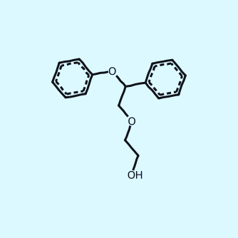 OCCOCC(Oc1ccccc1)c1ccccc1